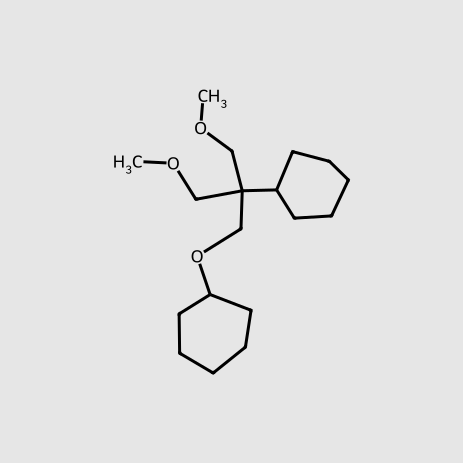 COCC(COC)(COC1CCCCC1)C1CCCCC1